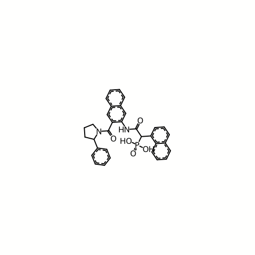 O=C(Nc1cc2ccccc2cc1C(=O)N1CCCC1c1ccccc1)C(c1cccc2ccccc12)P(=O)(O)O